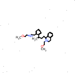 C=C(CCC1=[N+](CCOC)CCc2ccccc21)c1ccccc1CCNCCOC